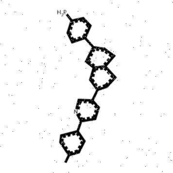 Cc1ccc(-c2ccc(-c3ccc4ccc(-c5ccc(P)cc5)cc4c3)cn2)cc1